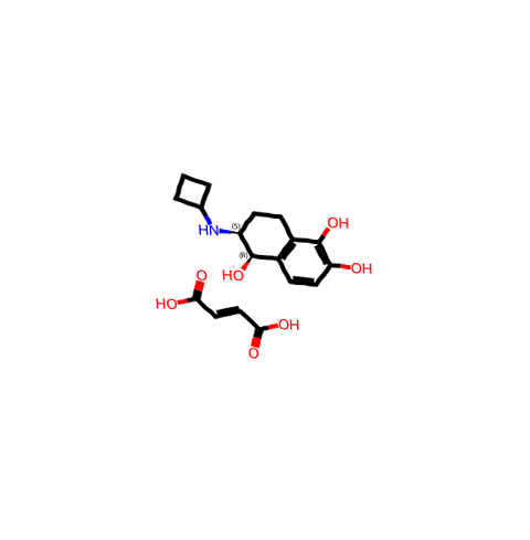 O=C(O)C=CC(=O)O.Oc1ccc2c(c1O)CC[C@H](NC1CCC1)[C@@H]2O